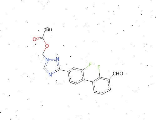 CC(C)(C)C(=O)OCn1cnc(-c2ccc(-c3cccc(C=O)c3F)c(F)c2)n1